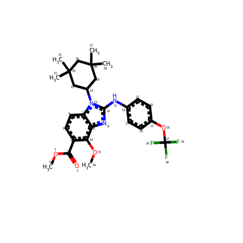 COC(=O)c1ccc2c(nc(Nc3ccc(OC(F)(F)F)cc3)n2C2CC(C)(C)CC(C)(C)C2)c1OC